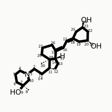 C[C@H](CN1CCC[C@](C)(O)C1)[C@H]1CC[C@H]2/C(=C/C=C3C[C@@H](O)C[C@H](O)C3)CCC[C@]12C